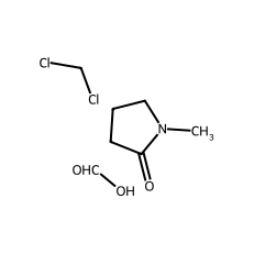 CN1CCCC1=O.ClCCl.O=CO